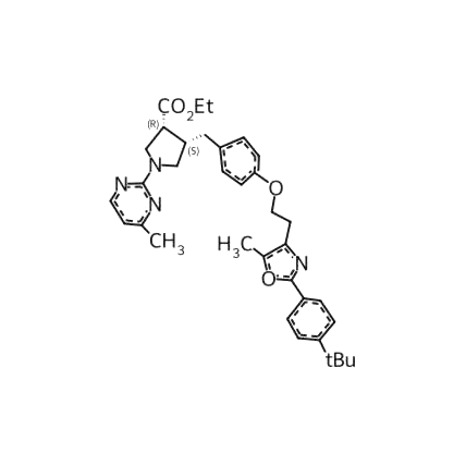 CCOC(=O)[C@H]1CN(c2nccc(C)n2)C[C@H]1Cc1ccc(OCCc2nc(-c3ccc(C(C)(C)C)cc3)oc2C)cc1